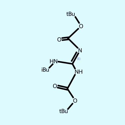 CCC(C)N/C(=N\C(=O)OC(C)(C)C)NC(=O)OC(C)(C)C